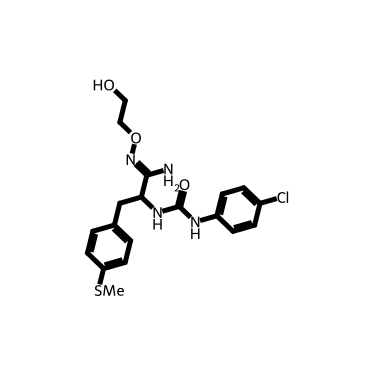 CSc1ccc(CC(NC(=O)Nc2ccc(Cl)cc2)C(N)=NOCCO)cc1